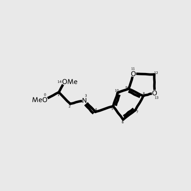 COC(CN=Cc1ccc2c(c1)OCO2)OC